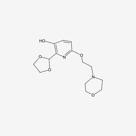 Oc1ccc(OCCN2CCOCC2)nc1C1OCCO1